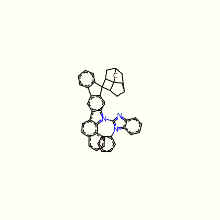 c1ccc(-n2c(-n3c4cc5c(cc4c4ccc6ccccc6c43)-c3ccccc3C53C4CC5CC6CC3C4(C5)C6)nc3ccccc32)cc1